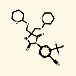 N#Cc1ccc(N2C(=O)NC(COC3CCCCO3)(COC3CCCCO3)C2=O)cc1C(F)(F)F